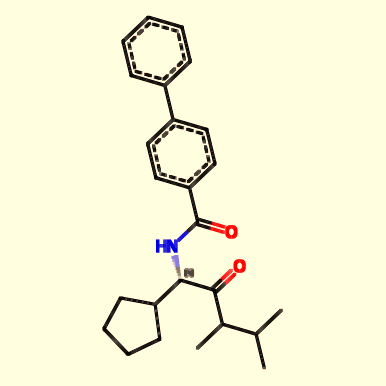 CC(C)C(C)C(=O)[C@@H](NC(=O)c1ccc(-c2ccccc2)cc1)C1CCCC1